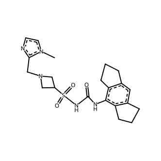 Cn1ccnc1CN1CC(S(=O)(=O)NC(=O)Nc2c3c(cc4c2CCC4)CCC3)C1